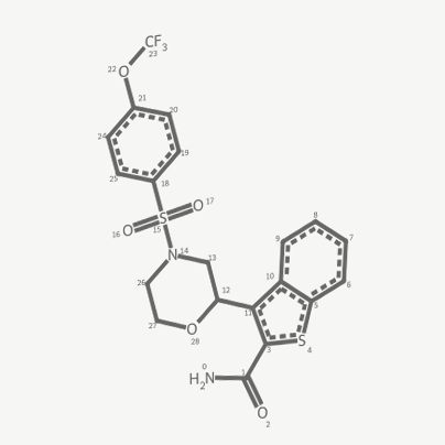 NC(=O)c1sc2ccccc2c1C1CN(S(=O)(=O)c2ccc(OC(F)(F)F)cc2)CCO1